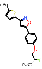 CCCCCCCC[C@@H](F)COc1ccc(-c2cc(-c3ccc(CCCC)s3)no2)cc1